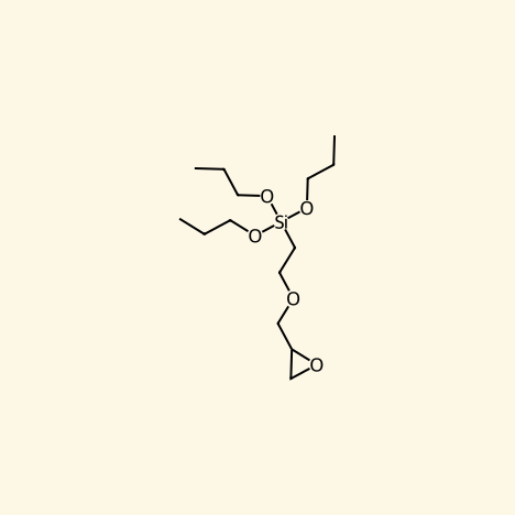 CCCO[Si](CCOCC1CO1)(OCCC)OCCC